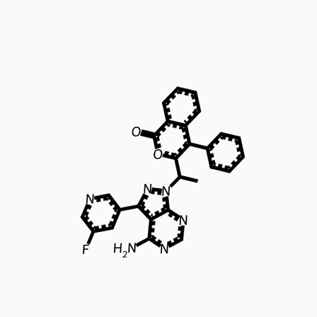 CC(c1oc(=O)c2ccccc2c1-c1ccccc1)n1nc(-c2cncc(F)c2)c2c(N)ncnc21